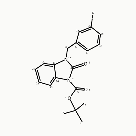 CC(C)(C)OC(=O)n1c(=O)n(Cc2cccc(I)c2)c2ccccc21